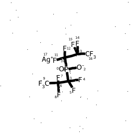 O=P([O-])(C(F)(F)C(F)(F)C(F)(F)F)C(F)(F)C(F)(F)C(F)(F)F.[Ag+]